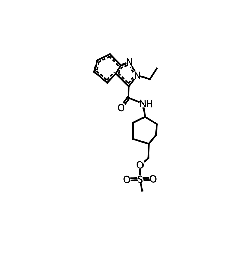 CCn1nc2ccccc2c1C(=O)NC1CCC(COS(C)(=O)=O)CC1